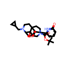 CC(C)(C)OC(=O)N1CCC23CCN(CC4CC4)C(Cc4ccc(-c5cccc(=O)[nH]5)cc42)C3(O)CC1